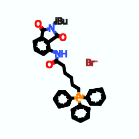 CCC(C)N1C(=O)c2cccc(NC(=O)CCCCC[P+](c3ccccc3)(c3ccccc3)c3ccccc3)c2C1=O.[Br-]